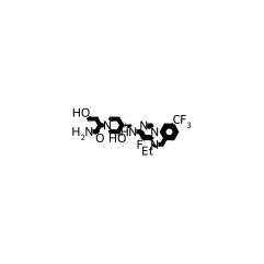 CCN(Cc1ccc(C(F)(F)F)cc1)c1ncnc(NC[C@@H]2CCN(C(CCO)C(N)=O)C[C@H]2O)c1F